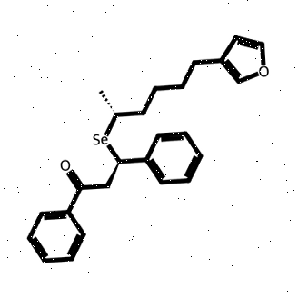 C[C@H](CCCCc1ccoc1)[Se][C@H](CC(=O)c1ccccc1)c1ccccc1